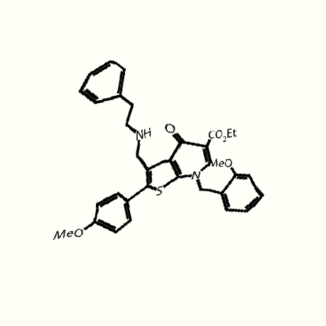 CCOC(=O)c1cn(Cc2ccccc2OC)c2sc(-c3ccc(OC)cc3)c(CNCCc3ccccc3)c2c1=O